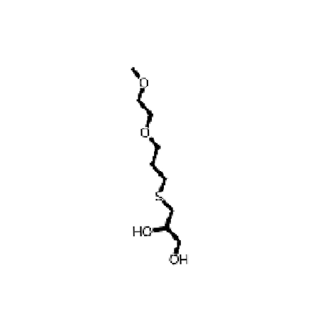 COCCOCCCSCC(O)CO